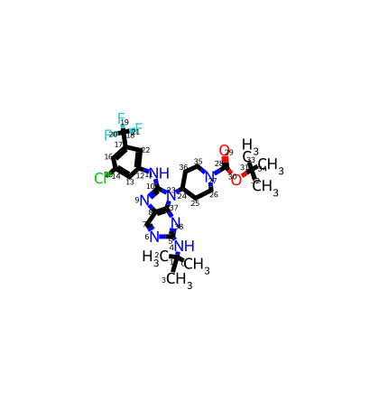 CC(C)(C)Nc1ncc2nc(Nc3cc(Cl)cc(C(F)(F)F)c3)n(C3CCN(C(=O)OC(C)(C)C)CC3)c2n1